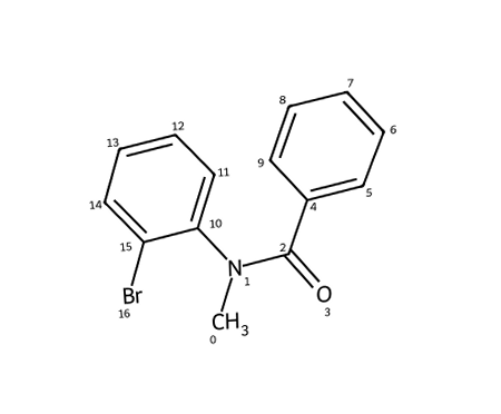 CN(C(=O)c1ccccc1)c1ccccc1Br